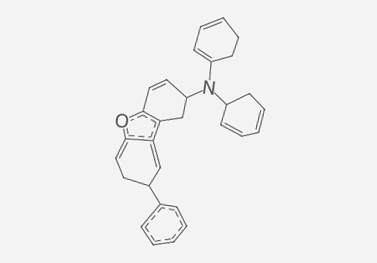 C1=CCCC(N(C2C=CC=CC2)C2C=Cc3oc4c(c3C2)=CC(c2ccccc2)CC=4)=C1